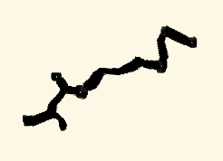 C=C(C)C(=O)OCCCOP=O